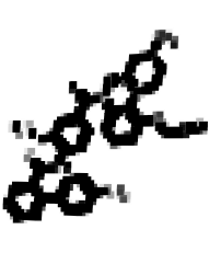 COc1cc(C(=O)N(C)c2cccc(OC=C=O)c2N2CCN(C)CC2)ccc1NC(=O)c1ccccc1-c1ccc(C)cc1